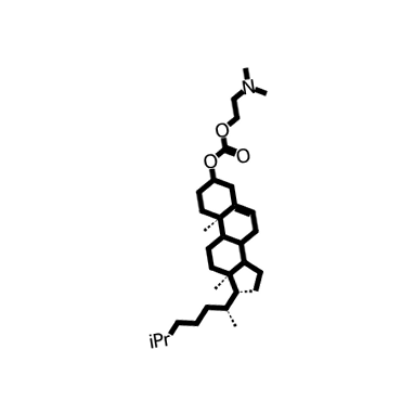 CC(C)CCC[C@@H](C)[C@H]1CCC2C3CC=C4CC(OC(=O)OCCN(C)C)CC[C@]4(C)C3CC[C@@]21C